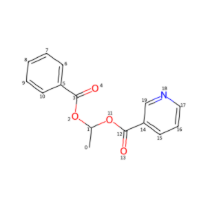 CC(OC(=O)c1ccccc1)OC(=O)c1cccnc1